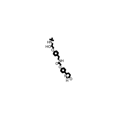 CC(C)(C)NC[C@H](O)COc1ccc(CCNC(=O)COc2ccc(C3=NNC(=O)CC3)cc2)cc1